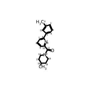 Cc1cccc(-c2cccc(C(=O)N3CCC(C)CC3)n2)c1